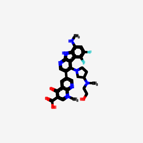 CNc1cc(F)c(F)c2c1[nH]c1ncc(-c3cnc4c(c3)c(=O)c(C(=O)O)cn4C)c(N3CCC(N(C)CCO)C3)c12